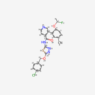 CC(F)Oc1ccc(C#N)cc1-c1cnccc1C(=O)Nc1nnc(OCc2ccc(Cl)cc2)s1